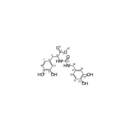 COC(=O)C(Cc1ccc(O)c(O)c1)NC(=O)NCc1ccc(O)c(O)c1